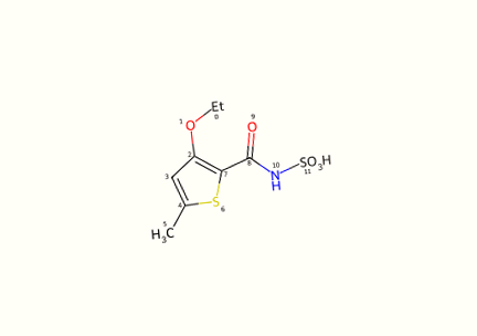 CCOc1cc(C)sc1C(=O)NS(=O)(=O)O